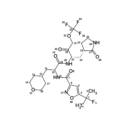 CC(C)(F)c1cc(C(=O)NC(CC2CCOCC2)C(=O)N[C@@H](C[C@@H]2CCNC2=O)C(=O)COC(F)(F)F)no1